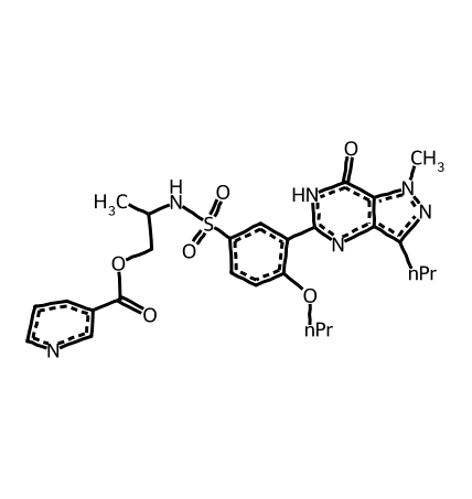 CCCOc1ccc(S(=O)(=O)NC(C)COC(=O)c2cccnc2)cc1-c1nc2c(CCC)nn(C)c2c(=O)[nH]1